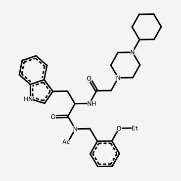 CCOc1ccccc1CN(C(C)=O)C(=O)C(Cc1c[nH]c2ccccc12)NC(=O)CN1CCN(C2CCCCC2)CC1